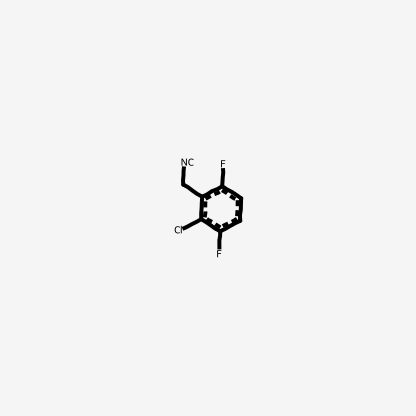 [C-]#[N+]Cc1c(F)ccc(F)c1Cl